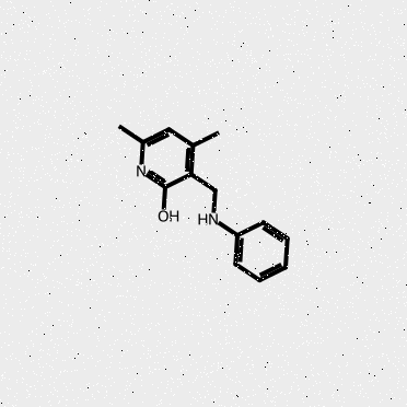 Cc1cc(C)c(CNc2ccccc2)c(O)n1